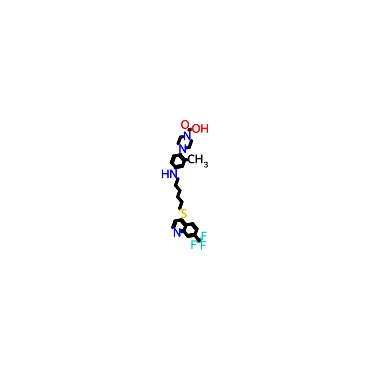 Cc1cc(NCCCCCCSc2ccnc3cc(C(F)(F)F)ccc23)ccc1N1CCN(C(=O)O)CC1